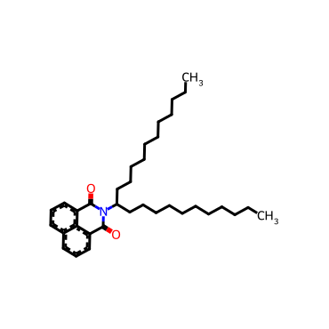 CCCCCCCCCCCC(CCCCCCCCCCC)N1C(=O)c2cccc3cccc(c23)C1=O